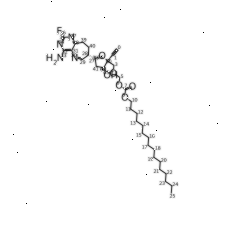 C#C[C@]1(COCOC(=O)OCCCCCCCCCCCCCCCC)O[C@@H](C2C=Nc3c(N)nc(F)nc3CC2)C[C@@H]1O